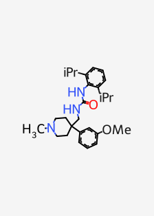 COc1cccc(C2(CNC(=O)Nc3c(C(C)C)cccc3C(C)C)CCN(C)CC2)c1